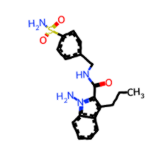 CCCc1c(C(=O)NCc2ccc(S(N)(=O)=O)cc2)n(N)c2ccccc12